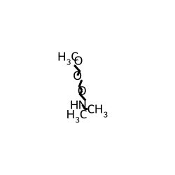 COCCOCCOCCNC(C)C